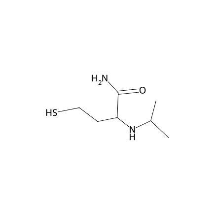 CC(C)NC(CCS)C(N)=O